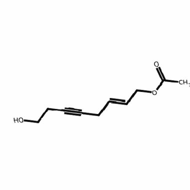 CC(=O)OC/C=C/CC#CCCO